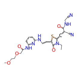 CCn1c(=C=C(C#N)C(=O)NCC#N)sc(=C=CNc2cccc(NC(=O)COCCOC)n2)c1=O